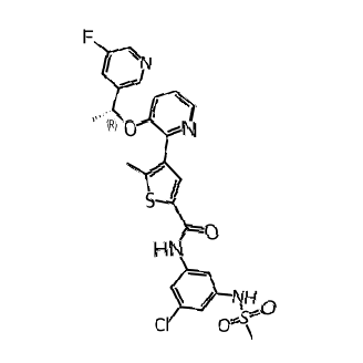 Cc1sc(C(=O)Nc2cc(Cl)cc(NS(C)(=O)=O)c2)cc1-c1ncccc1O[C@H](C)c1cncc(F)c1